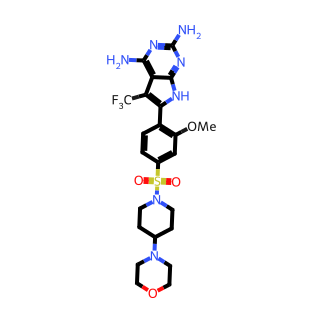 COc1cc(S(=O)(=O)N2CCC(N3CCOCC3)CC2)ccc1-c1[nH]c2nc(N)nc(N)c2c1C(F)(F)F